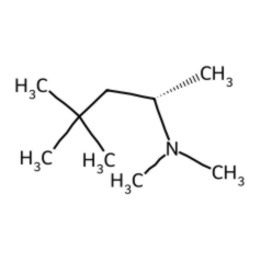 C[C@@H](CC(C)(C)C)N(C)C